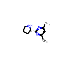 Cc1cc(C)nc([C@@H]2CCCN2)n1